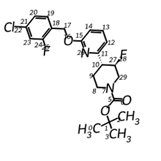 CC(C)(C)OC(=O)N1CC[C@H](c2cccc(OCc3ccc(Cl)cc3F)n2)[C@@H](F)C1